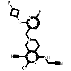 N#CCNc1nc(Cl)c(C#N)c2c1CCN(Cc1ccc(F)nc1O[C@H]1C[C@H](F)C1)C2